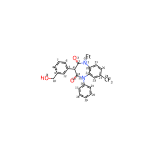 CCN1C(=O)C(c2cccc(CO)c2)C(=O)N(c2ccccc2)c2cc(C(F)(F)F)ccc21